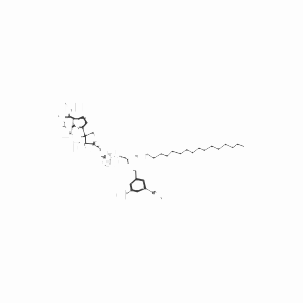 CCCCCCCCCCCCCCCCOC[C@@H](COP(=O)(O)OC[C@@]1(C)OCC(O)(c2ccc3c(N)ncnn23)[C@@H]1O)OCc1cc(Cl)cc(C#N)c1